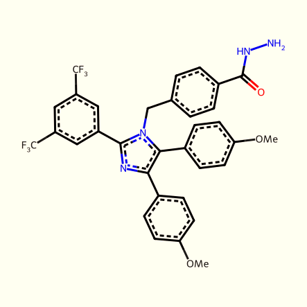 COc1ccc(-c2nc(-c3cc(C(F)(F)F)cc(C(F)(F)F)c3)n(Cc3ccc(C(=O)NN)cc3)c2-c2ccc(OC)cc2)cc1